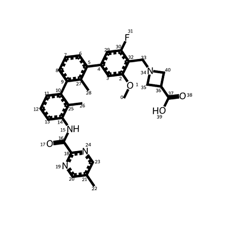 COc1cc(-c2cccc(-c3cccc(NC(=O)c4ncc(C)cn4)c3C)c2C)cc(F)c1CN1CC(C(=O)O)C1